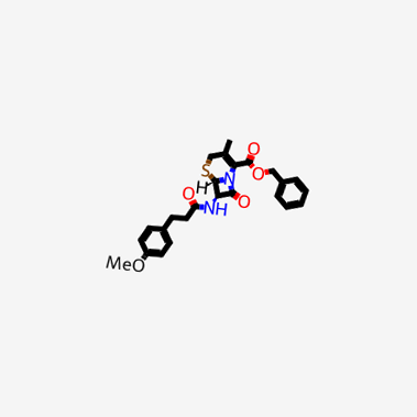 COc1ccc(CCC(=O)N[C@@H]2C(=O)N3C(C(=O)OCc4ccccc4)=C(C)CS[C@H]23)cc1